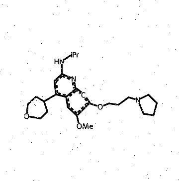 COc1cc2c(C3CCOCC3)cc(NC(C)C)nc2cc1OCCCN1CCCC1